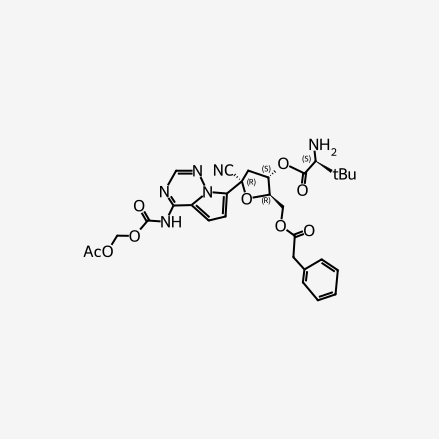 CC(=O)OCOC(=O)Nc1ncnn2c([C@@]3(C#N)C[C@H](OC(=O)[C@@H](N)C(C)(C)C)[C@@H](COC(=O)Cc4ccccc4)O3)ccc12